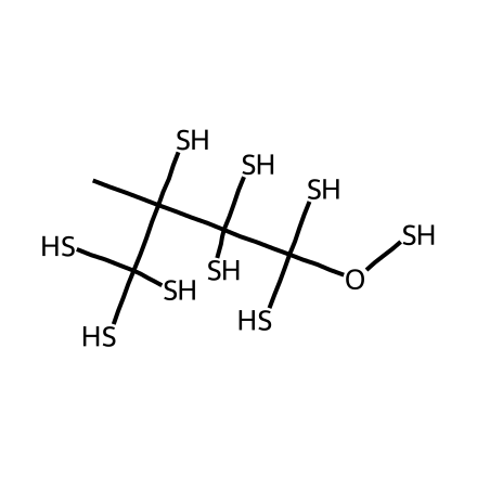 CC(S)(C(S)(S)S)C(S)(S)C(S)(S)OS